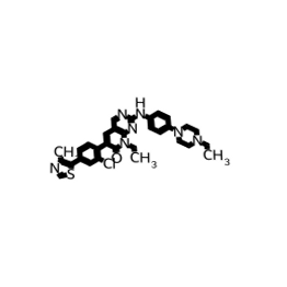 CCN1CCN(c2ccc(Nc3ncc4cc(-c5ccc(-c6scnc6C)cc5Cl)c(=O)n(CC)c4n3)cc2)CC1